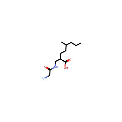 CCCC(C)CCC(CNC(=O)CN)C(=O)O